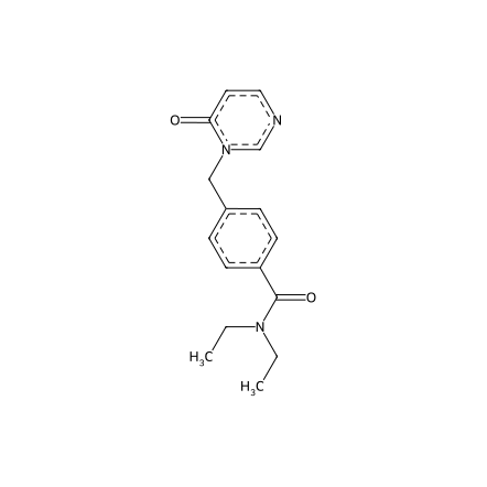 CCN(CC)C(=O)c1ccc(Cn2cnccc2=O)cc1